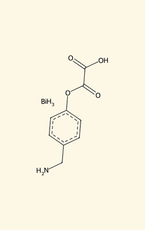 NCc1ccc(OC(=O)C(=O)O)cc1.[BiH3]